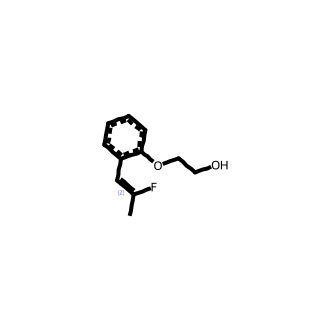 C/C(F)=C/c1ccccc1OCCO